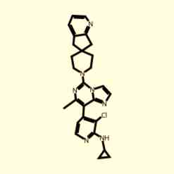 Cc1nc(N2CCC3(CC2)Cc2cccnc2C3)n2ccnc2c1-c1ccnc(NC2CC2)c1Cl